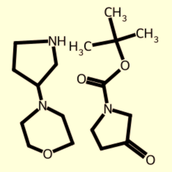 C1CC(N2CCOCC2)CN1.CC(C)(C)OC(=O)N1CCC(=O)C1